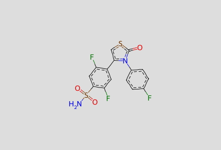 NS(=O)(=O)c1cc(F)c(-c2csc(=O)n2-c2ccc(F)cc2)cc1F